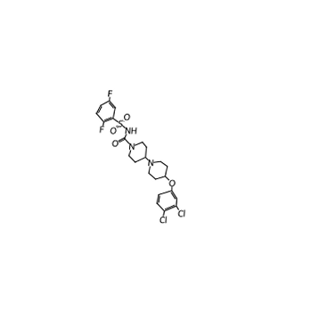 O=C(NS(=O)(=O)c1cc(F)ccc1F)N1CCC(N2CCC(Oc3ccc(Cl)c(Cl)c3)CC2)CC1